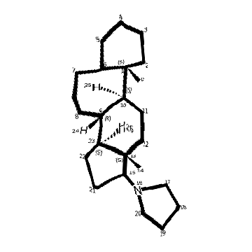 C[C@]12CCCCC1CC[C@@H]1[C@@H]2CC[C@]2(C)C(N3CCCC3)CC[C@@H]12